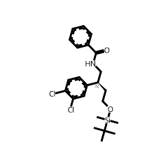 CC(C)(C)[Si](C)(C)OCC[C@H](CNC(=O)c1ccccc1)c1ccc(Cl)c(Cl)c1